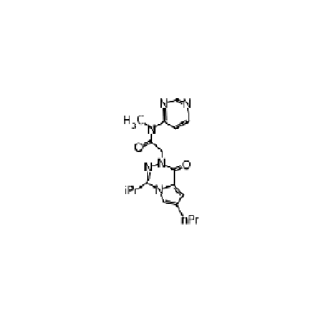 CCCc1cc2c(=O)n(CC(=O)N(C)c3ccncn3)nc(C(C)C)n2c1